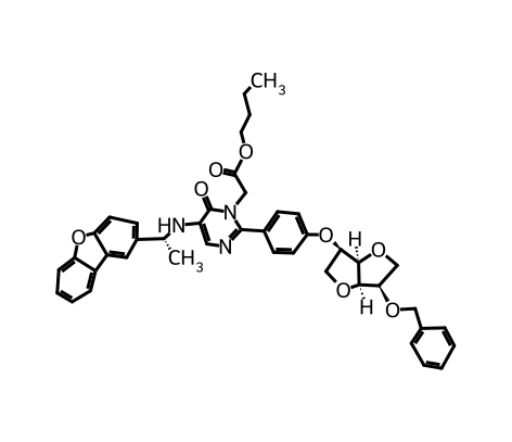 CCCCOC(=O)Cn1c(-c2ccc(O[C@@H]3CO[C@H]4[C@@H]3OC[C@H]4OCc3ccccc3)cc2)ncc(N[C@H](C)c2ccc3oc4ccccc4c3c2)c1=O